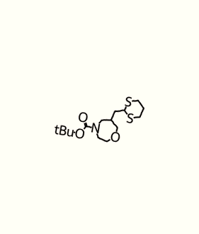 CC(C)(C)OC(=O)N1CCOCC(CC2SCCCS2)C1